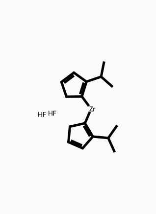 CC(C)C1=[C]([Zr][C]2=C(C(C)C)C=CC2)CC=C1.F.F